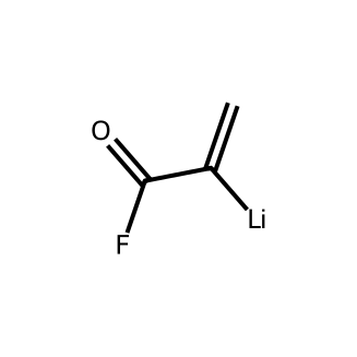 [Li][C](=C)C(=O)F